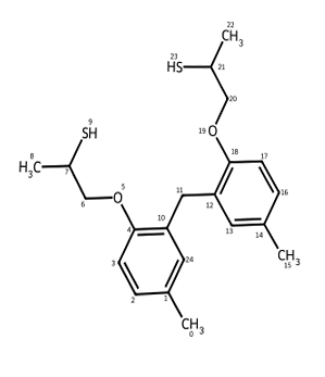 Cc1ccc(OCC(C)S)c(Cc2cc(C)ccc2OCC(C)S)c1